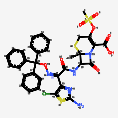 CS(=O)(=O)OC1=C(C(=O)O)N2C(=O)[C@@H](NC(=O)/C(=N\OC(c3ccccc3)(c3ccccc3)c3ccccc3)c3nc(N)sc3Cl)[C@@H]2SC1